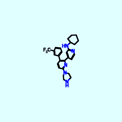 FC(F)(F)c1cccc(-c2ccc(N3CCNCC3)nc2-c2ccnc(NC3CCCCC3)c2)c1